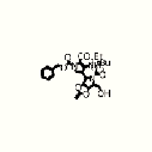 C=C1OC2C(O1)C(c1cn(C(=O)OCc3ccccc3)c(C(=O)OCC)c1N)N(C(=O)OC(C)(C)C)C2CO